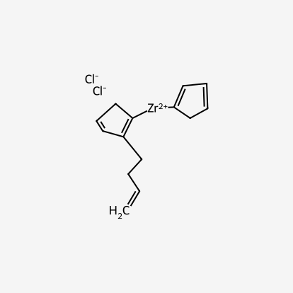 C=CCCC1=[C]([Zr+2][C]2=CC=CC2)CC=C1.[Cl-].[Cl-]